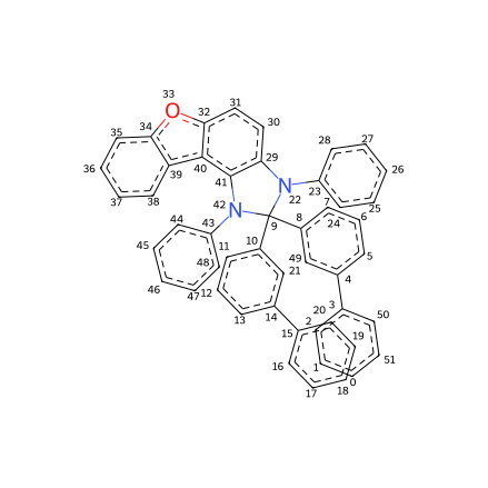 c1ccc(-c2cccc(C3(c4cccc(-c5ccccc5)c4)N(c4ccccc4)c4ccc5oc6ccccc6c5c4N3c3ccccc3)c2)cc1